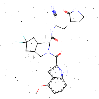 COc1cccc2[nH]c(C(=O)N3C[C@H]4CC(F)(F)C[C@H]4[C@H]3C(=O)N[C@H](C#N)C[C@@H]3CCNC3=O)cc12